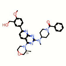 COc1ccc(-c2ccc3c(N4CCOC[C@@H]4C)nc(N(C)C4CCN(C(=O)c5ccccc5)CC4)nc3n2)cc1CO